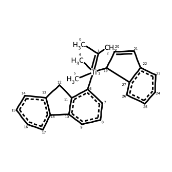 C[C](C)=[Ti]([CH3])([CH3])([c]1cccc2c1Cc1ccccc1-2)[CH]1C=Cc2ccccc21